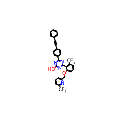 Oc1nc(-c2ccc(C#Cc3ccccc3)cc2)nc(-c2c(OCc3cccc(C(F)(F)F)n3)cccc2C(F)(F)F)n1